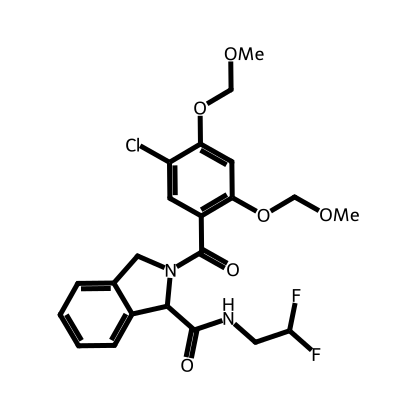 COCOc1cc(OCOC)c(C(=O)N2Cc3ccccc3C2C(=O)NCC(F)F)cc1Cl